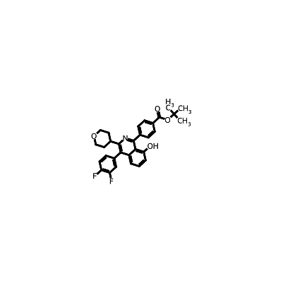 CC(C)(C)OC(=O)c1ccc(-c2nc(C3CCOCC3)c(-c3ccc(F)c(F)c3)c3cccc(O)c23)cc1